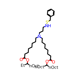 CCCCCCCCC(CC)OC(=O)CCCCCCCN(CCCCCCCC(=O)OC(CCCCCCCC)CCCCCCCC)CCCNSCc1ccccc1